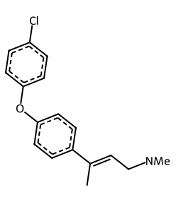 CNCC=C(C)c1ccc(Oc2ccc(Cl)cc2)cc1